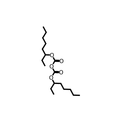 CCCCCC(CC)OC(=O)OC(=O)OC(CC)CCCCC